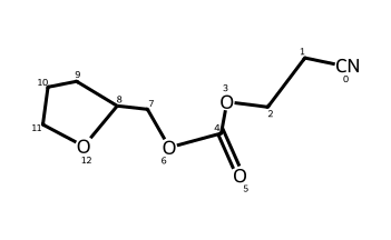 N#CCCOC(=O)OCC1CCCO1